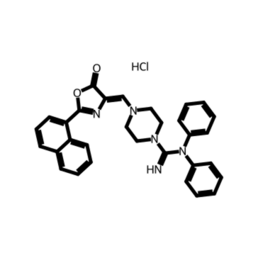 Cl.N=C(N1CCN(C=C2N=C(c3cccc4ccccc34)OC2=O)CC1)N(c1ccccc1)c1ccccc1